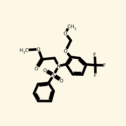 COCOc1cc(C(F)(F)F)ccc1N(CC(=O)OC)S(=O)(=O)c1ccccc1